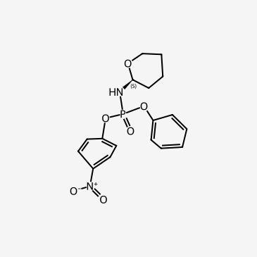 O=[N+]([O-])c1ccc(OP(=O)(N[C@@H]2CCCCO2)Oc2ccccc2)cc1